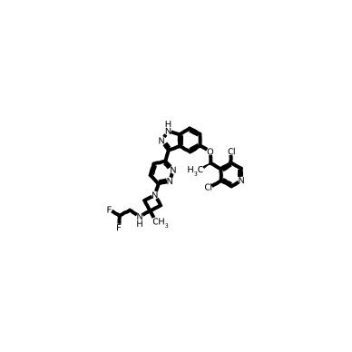 C[C@@H](Oc1ccc2[nH]nc(-c3ccc(N4CC(C)(NCC(F)F)C4)nn3)c2c1)c1c(Cl)cncc1Cl